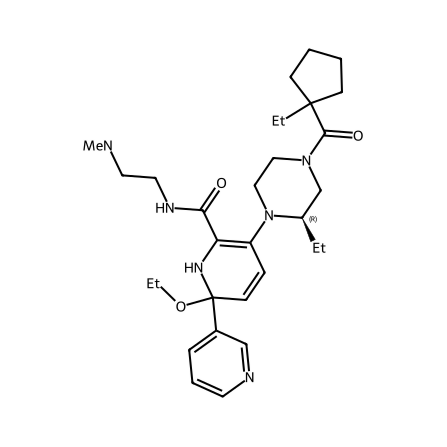 CCOC1(c2cccnc2)C=CC(N2CCN(C(=O)C3(CC)CCCC3)C[C@H]2CC)=C(C(=O)NCCNC)N1